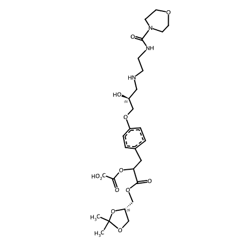 CC1(C)OC[C@@H](COC(=O)C(Cc2ccc(OC[C@@H](O)CNCCNC(=O)N3CCOCC3)cc2)OC(=O)C(=O)O)O1